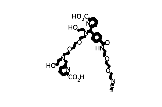 O=C(NCCOCCOCCN=C=S)c1ccc(C(c2cccc(C(=O)O)n2)N(CCO)CCOCCOCCN(CCO)Cc2cccc(C(=O)O)n2)cc1